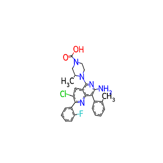 Cc1ccccc1-c1c(N)nc(N2CCN(C(=O)O)CC2C)c2cc(Cl)c(-c3ccccc3F)nc12